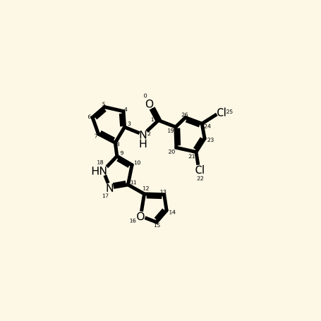 O=C(Nc1ccccc1-c1cc(-c2ccco2)n[nH]1)c1cc(Cl)cc(Cl)c1